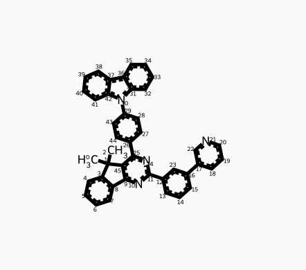 CC1(C)c2ccccc2-c2nc(-c3cccc(-c4cccnc4)c3)nc(-c3ccc(-n4c5ccccc5c5ccccc54)cc3)c21